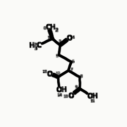 C=C(C)C(=O)CCC(CC(=O)O)C(=O)O